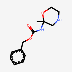 CC1(NC(=O)OCc2ccccc2)CNCCO1